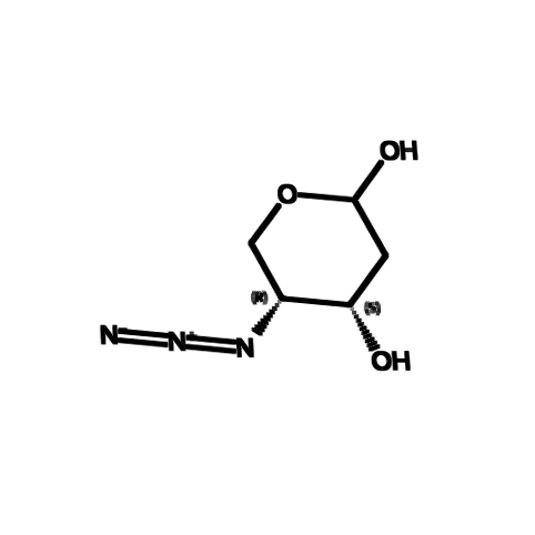 [N-]=[N+]=N[C@@H]1COC(O)C[C@@H]1O